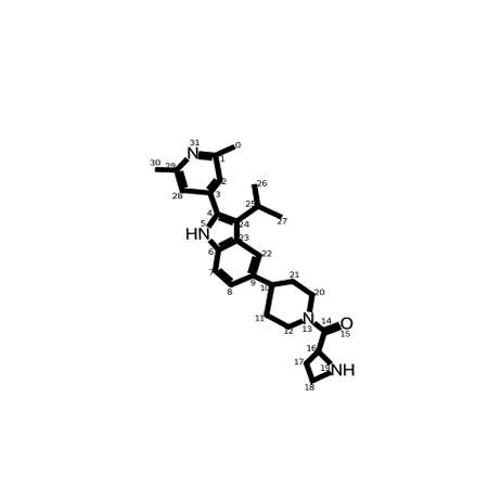 Cc1cc(-c2[nH]c3ccc(C4CCN(C(=O)C5CCN5)CC4)cc3c2C(C)C)cc(C)n1